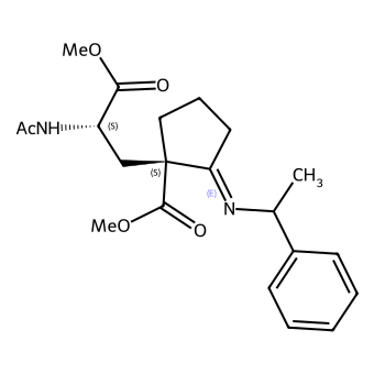 COC(=O)[C@H](C[C@@]1(C(=O)OC)CCC/C1=N\C(C)c1ccccc1)NC(C)=O